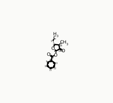 CC[C@H]1O[C@H](OC(=O)c2ccccc2)C(=O)[C@@H]1C